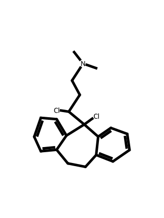 CN(C)CCC(Cl)C1(Cl)c2ccccc2CCc2ccccc21